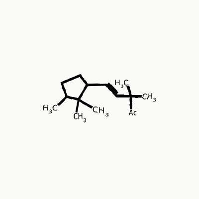 CC(=O)C(C)(C)/C=C/C1CCC(C)C1(C)C